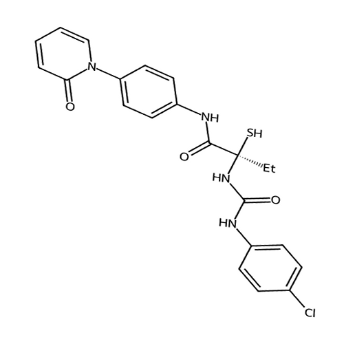 CC[C@](S)(NC(=O)Nc1ccc(Cl)cc1)C(=O)Nc1ccc(-n2ccccc2=O)cc1